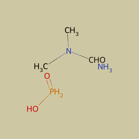 CN(C)C=O.N.O=[PH2]O